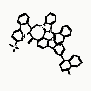 C=C1c2ccc3c(oc4ccc(-c5ccc(F)c6ccccc56)cc43)c2-c2n(-c3cccc4ccccc34)c3ccccc3[n+]2CC2c3ccccc3-c3ccc([Si](C)(C)C)c[n+]3C12